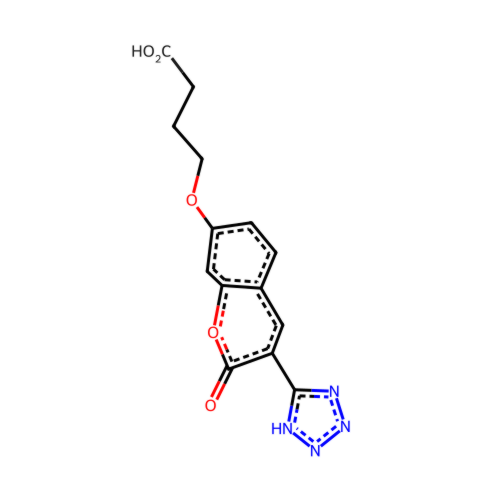 O=C(O)CCCOc1ccc2cc(-c3nnn[nH]3)c(=O)oc2c1